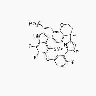 CSc1c(Oc2ccc(F)c(-c3nc(C4(C)CCOc5c(/C=C/C(=O)O)cccc54)c[nH]3)c2)c(F)c(F)c2[nH]ccc12